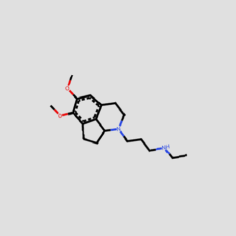 CCNCCCN1CCc2cc(OC)c(OC)c3c2C1CC3